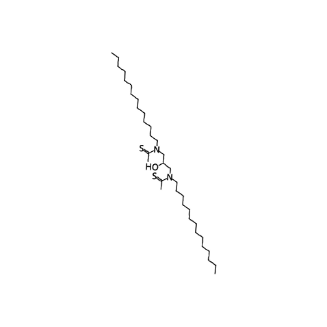 CCCCCCCCCCCCCCN(CC(O)CN(CCCCCCCCCCCCCC)C(C)=S)C(C)=S